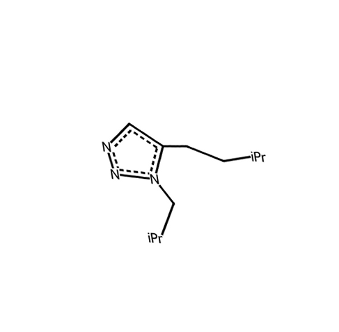 CC(C)CCc1cnnn1CC(C)C